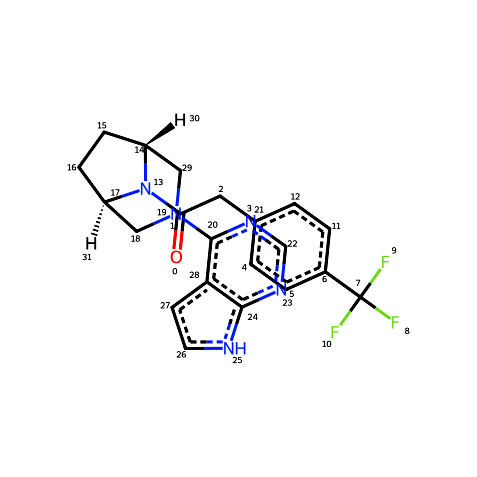 O=C(Cc1ccc(C(F)(F)F)cc1)N1[C@@H]2CC[C@@H]1CN(c1ncnc3[nH]ccc13)C2